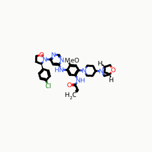 C=CC(=O)Nc1cc(Nc2cc(N3OCC[C@@H]3c3ccc(Cl)cc3)ncn2)c(OC)cc1N1CCC(N2C[C@@H]3C[C@H]2CO3)CC1